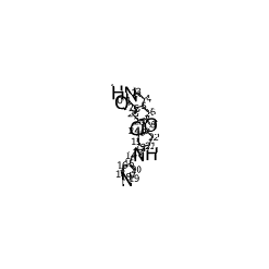 O=c1[nH]ccc2cc(O[C@H]3CC[C@@H](NCc4ccncc4)CC3)c(Cl)cc12